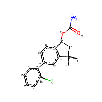 CC1(C)CC(OC(N)=O)c2ccc(-c3ccccc3Cl)cc21